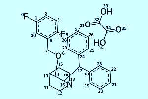 Fc1ccc(F)c(COC2C3CCN(CC3)C2C(c2ccccc2)c2ccccc2)c1.O=C(O)C(=O)O